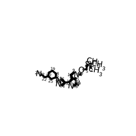 C[Si](C)(C)CCOCn1ccc2c(-c3cnn(C4CCCC(CC#N)C4)c3)ncnc21